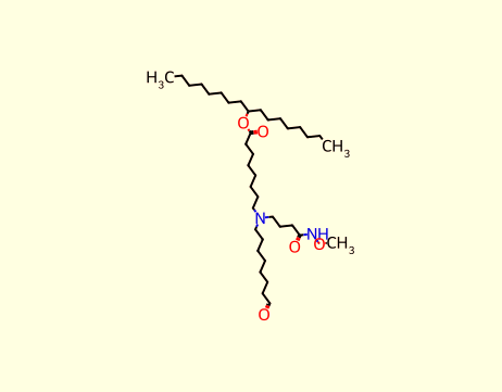 CCCCCCCCC(CCCCCCCC)OC(=O)CCCCCCCN(CCCCCCCC=O)CCCC(=O)NOC